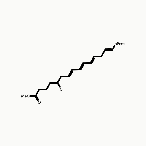 CCCCC/C=C/C/C=C/C=C/C=C/CC(O)CCCC(=O)OC